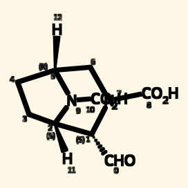 O=C[C@@H]1[C@@H]2CC[C@H](CN1C(=O)O)N2C(=O)O